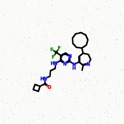 CC1=NCCC(C2CCCCCCCC2)C=C1Nc1ncc(C(F)(F)F)c(NCCCNC(=O)C2CCC2)n1